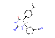 C=C(C)c1ccc([C@@H]2C(=O)N(C)C(=N)N[C@]2(C)c2cccc(C#N)c2)cc1